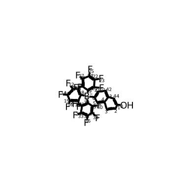 Oc1ccc2cc([B-](c3c(F)c(F)c(F)c(F)c3F)(c3c(F)c(F)c(F)c(F)c3F)c3c(F)c(F)c(F)c(F)c3F)ccc2c1